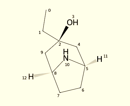 CC[C@]1(O)C[C@H]2CC[C@@H](C1)N2